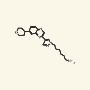 NCCCCCCn1cc(-c2cnc3ccc(C4CCOCC4)cc3n2)cn1